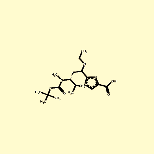 CCO[C@H](C[C@H](C(C)C)N(C)C(=O)OC(C)(C)C)c1nc(C(=O)O)cs1